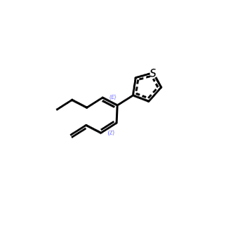 C=C/C=C\C(=C/CCC)c1ccsc1